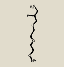 CCCOCCOCCOCC(F)CN